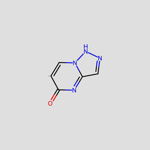 O=c1[c]cn2[nH]ncc2n1